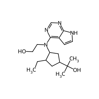 CCC1CC(C(C)(C)O)CC1N(CCO)c1ncnc2[nH]ccc12